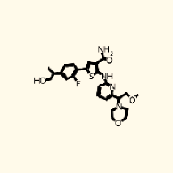 COCC(c1cccc(Nc2sc(-c3ccc(C(C)CO)cc3F)cc2C(N)=O)n1)N1CCOCC1